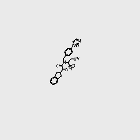 CC(C)CC1C(=O)NC(C2Cc3ccccc3C2)C(=O)N1Cc1ccc(-n2ccnn2)cc1